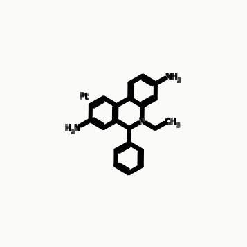 CCN1c2cc(N)ccc2-c2ccc(N)cc2C1c1ccccc1.[Pt]